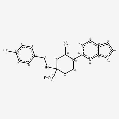 CCOC(=O)C1(NCc2ccc(F)cc2)CCN(c2ncc3ccsc3n2)C(CC)C1